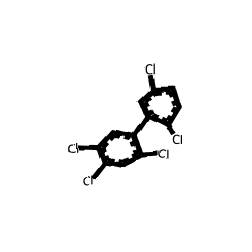 Clc1ccc(Cl)c(-c2cc(Cl)c(Cl)cc2Cl)c1